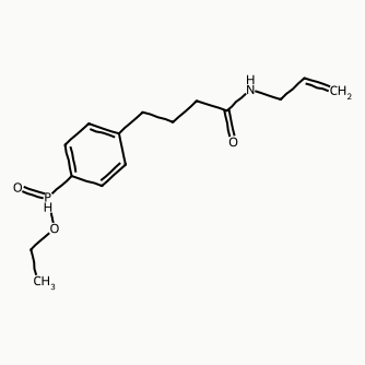 C=CCNC(=O)CCCc1ccc([PH](=O)OCC)cc1